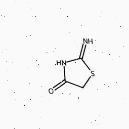 N=C1NC(=O)CS1